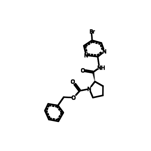 O=C(Nc1ncc(Br)cn1)[C@@H]1CCCN1C(=O)OCc1ccccc1